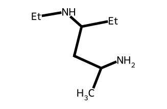 CCNC(CC)CC(C)N